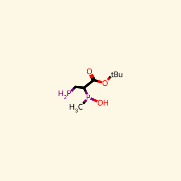 CP(O)C(CP)C(=O)OC(C)(C)C